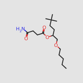 CCCCCOCC(CCC(C)(C)C)OC(=O)CCC(N)=O